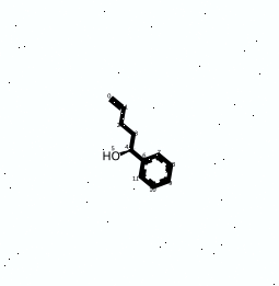 C=CCC[C@H](O)c1ccccc1